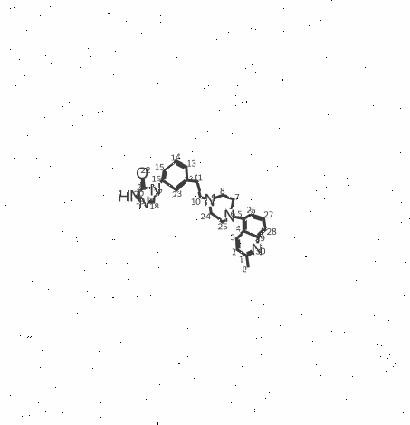 Cc1ccc2c(N3CCN(CCc4cccc(-n5cn[nH]c5=O)c4)CC3)cccc2n1